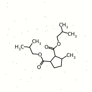 CC(C)COC(=O)C1CCC(C)C1C(=O)OCC(C)C